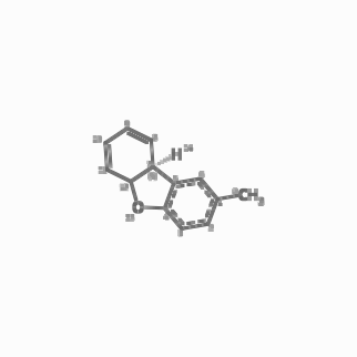 Cc1ccc2c(c1)[C@@H]1C=CC=CC1O2